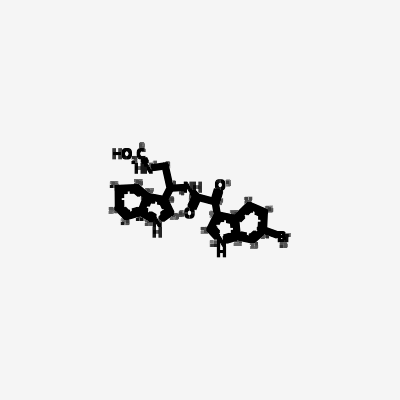 O=C(O)NCC(NC(=O)C(=O)c1c[nH]c2cc(Br)ccc12)c1c[nH]c2ccccc12